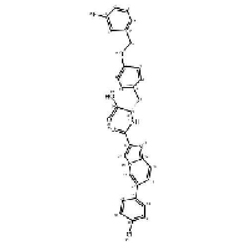 O=C(N[C@@H](Cc1ccc(OCc2cccc(F)c2)cc1)C(=O)O)c1cn2cc(-c3ccc(Cl)cc3)ccc2n1